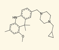 COc1cc(C)cc2c1C(C)(C)c1cc(CN3CCN(CC4CC4)CC3)ccc1N2